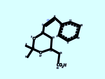 CC1(C)OC(/C=C\c2ccccc2)CC(CC(=O)O)O1